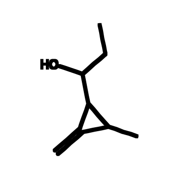 C=C1C(C)C1C(O)CC